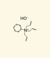 C=CC[N+](CC=C)(CC=C)c1ccccc1.[OH-]